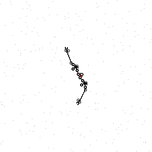 C=CC(C=C)OC(=O)CCCCCCCCCCOc1ccc(-c2nnc(-c3ccc(-c4ccc5c(c4)C4(c6cc(-c7ccc(-c8nnc(-c9ccc(OCCCCCCCCCCC(=O)OC(C=C)C=C)cc9)n8-c8ccccc8)cc7)ccc6-5)C5(C)CCCC4(C)CCC5)cc3)n2-c2ccccc2)cc1